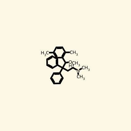 Cc1ccc(C)c(C(O)C(C[C@H](C)N(C)C)(c2ccccc2)c2ccccc2)c1